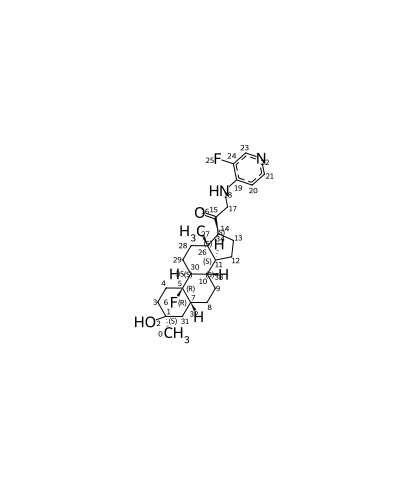 C[C@]1(O)CC[C@@]2(F)[C@H](CC[C@H]3[C@@H]4CC[C@H](C(=O)CNc5ccncc5F)[C@@]4(C)CC[C@@H]32)C1